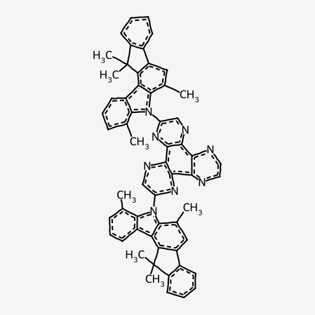 Cc1cccc2c3c4c(cc(C)c3n(-c3cnc5c6nccnc6c6nc(-n7c8c(C)cccc8c8c9c(cc(C)c87)-c7ccccc7C9(C)C)cnc6c5n3)c12)-c1ccccc1C4(C)C